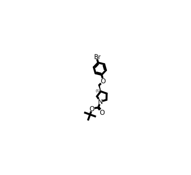 CC(C)(C)OC(=O)N1CC[C@H](COc2ccc(Br)cc2)C1